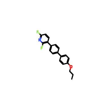 CCCOc1ccc(-c2ccc(-c3ccc(F)nc3F)cc2)cc1